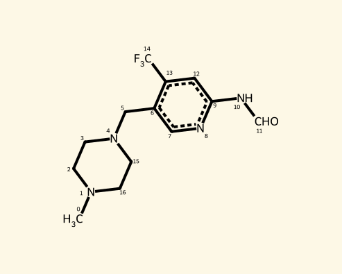 CN1CCN(Cc2cnc(NC=O)cc2C(F)(F)F)CC1